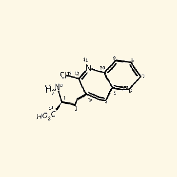 N[C@@H](Cc1cc2ccccc2nc1Cl)C(=O)O